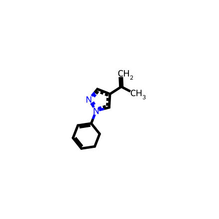 C=C(C)c1cnn(C2=CC=CCC2)c1